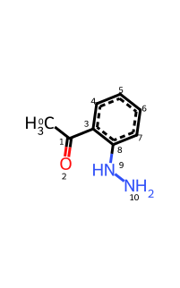 CC(=O)c1ccccc1NN